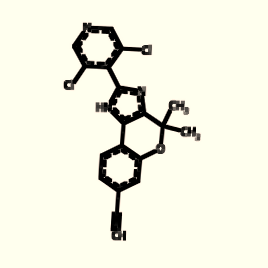 C#Cc1ccc2c(c1)OC(C)(C)c1nc(-c3c(Cl)cncc3Cl)[nH]c1-2